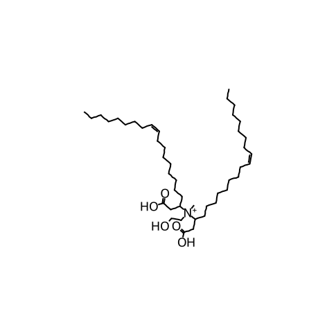 CCCCCCCC/C=C\CCCCCCCCC(CC(=O)O)[N+](C)(CCO)C(CCCCCCCC/C=C\CCCCCCCC)CC(=O)O